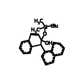 CC(C)(C)[Si](C)(C)OC1(O)C=Cc2ccccc2C1c1cccc2ccccc12